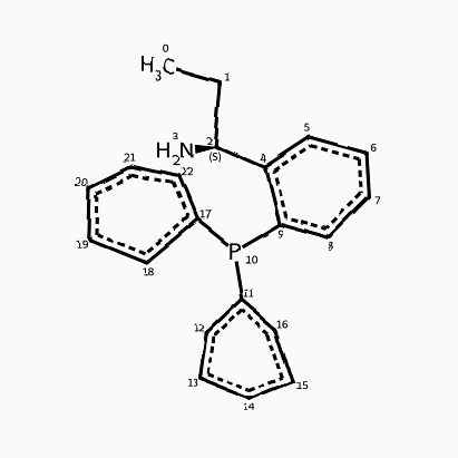 CC[C@H](N)c1ccccc1P(c1ccccc1)c1ccccc1